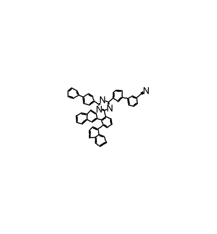 N#Cc1cccc(-c2cccc(-c3nc(-c4ccc(-c5ccccc5)cc4)nc(-c4cccc(-c5cccc6ccccc56)c4-c4ccc5ccccc5c4)n3)c2)c1